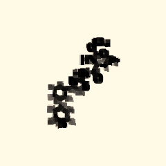 CC(C)C[C@H](NC(=O)OC(C)(C)C)C(=O)Nc1nc(-c2cccc(-c3ccncc3)c2)cs1